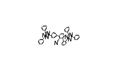 N#Cc1c(-c2ccc(-c3nc(-c4ccccc4)nc(-c4ccccc4)n3)cc2)cccc1-c1ccccc1-c1nc(-c2ccccc2)nc(-c2ccccc2)n1